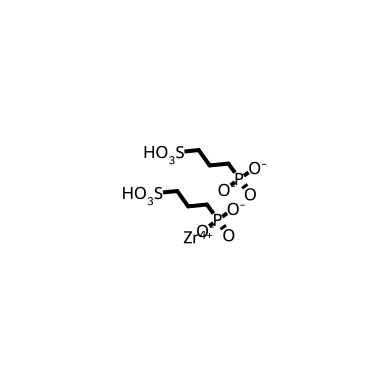 O=P([O-])([O-])CCCS(=O)(=O)O.O=P([O-])([O-])CCCS(=O)(=O)O.[Zr+4]